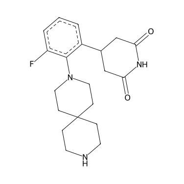 O=C1CC(c2cccc(F)c2N2CCC3(CCNCC3)CC2)CC(=O)N1